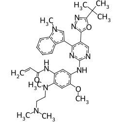 C=CC(=O)Nc1cc(Nc2ncc(-c3nnc(C(C)(C)C)o3)c(-c3cn(C)c4ccccc34)n2)c(OC)cc1N(C)CCN(C)C